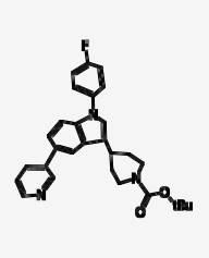 CC(C)(C)OC(=O)N1CCC(c2cn(-c3ccc(F)cc3)c3ccc(-c4cccnc4)cc23)CC1